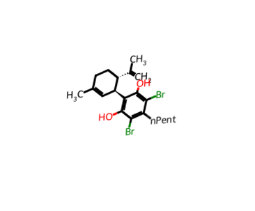 C=C(C)[C@H]1CCC(C)=C[C@@H]1c1c(O)c(Br)c(CCCCC)c(Br)c1O